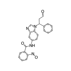 O=CCC(c1ccccc1)n1cnc2cc(NC(=O)c3ccccc3N=O)ccc21